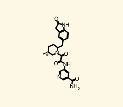 C[C@H]1CCC(Cc2ccc3c(c2)CC(=O)N3)N(C(=O)C(=O)Nc2cncc(C(N)=O)c2)C1